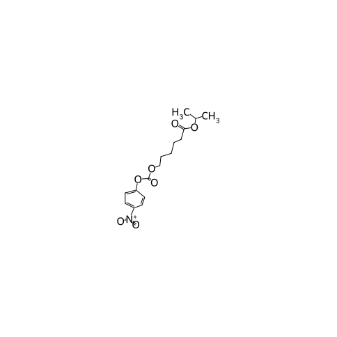 CC(C)OC(=O)CCCCCOC(=O)Oc1ccc([N+](=O)[O-])cc1